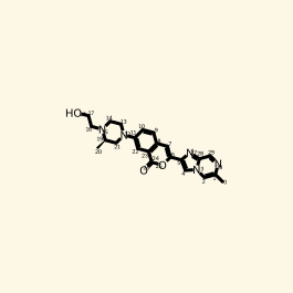 Cc1cn2cc(-c3cc4ccc(N5CCN(CCO)[C@H](C)C5)cc4c(=O)o3)nc2cn1